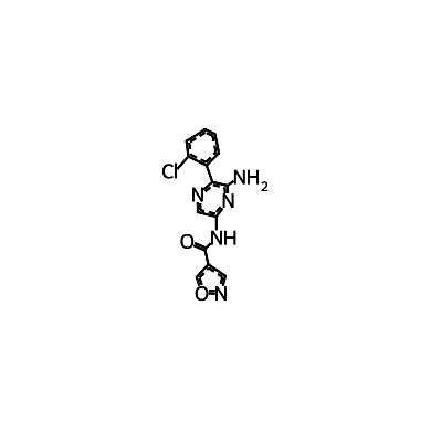 Nc1nc(NC(=O)c2cnoc2)cnc1-c1ccccc1Cl